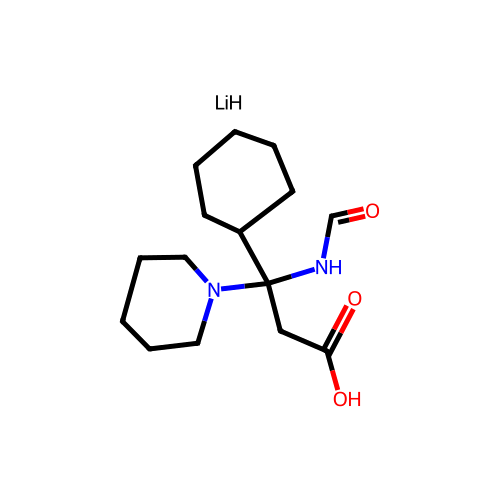 O=CNC(CC(=O)O)(C1CCCCC1)N1CCCCC1.[LiH]